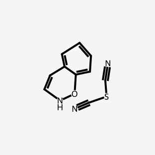 C1=Cc2ccccc2ON1.N#CSC#N